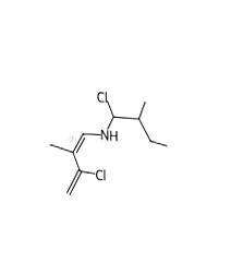 C=C(Cl)/C(C)=C\NC(Cl)C(C)CC